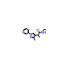 CCNC(=O)C(C)c1cn(-c2cccnc2)nc1C